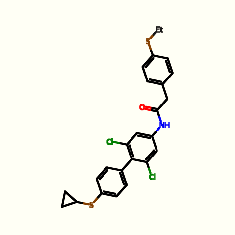 CCSc1ccc(CC(=O)Nc2cc(Cl)c(-c3ccc(SC4CC4)cc3)c(Cl)c2)cc1